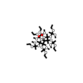 CCOC(C)(OC)OC(C)(OC(C)(OC)OCC)C(C)(OC(C)(OC)OCC)C(=O)C(C)(OC(C)(OC)OCC)C(C)(OC(C)(OC)OCC)OC(C)(OC)OCC